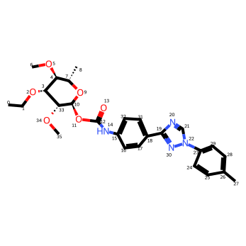 CCO[C@@H]1[C@@H](OC)[C@H](C)O[C@@H](OC(=O)Nc2ccc(-c3ncn(-c4ccc(C)cc4)n3)cc2)[C@@H]1OC